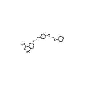 O=C(O)c1cc(CCCc2ccc(OCCOc3ccccc3)cc2)ccc1O